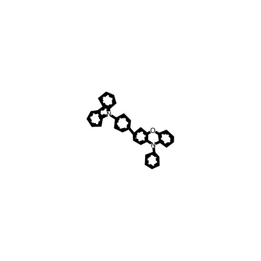 c1ccc(N2c3ccccc3Oc3cc(-c4ccc(-n5c6ccccc6c6ccccc65)cc4)ccc32)cc1